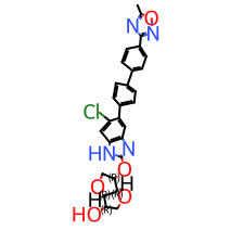 Cc1nc(-c2ccc(-c3ccc(-c4cc5nc(O[C@@H]6CO[C@H]7[C@@H]6OC[C@H]7O)[nH]c5cc4Cl)cc3)cc2)no1